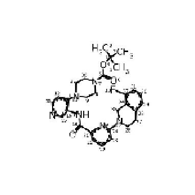 CC(C)(C)OC(=O)N1CCN(c2ccncc2NC(=O)c2cccc(N3CCc4cccc(F)c4C3)n2)CC1